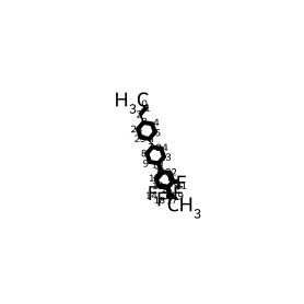 CCC[C@H]1CC[C@H](C2CCC(c3cc(F)c(C(C)(F)F)c(F)c3)CC2)CC1